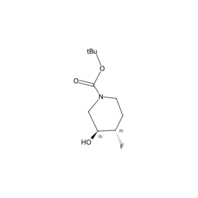 CC(C)(C)OC(=O)N1CC[C@H](F)[C@@H](O)C1